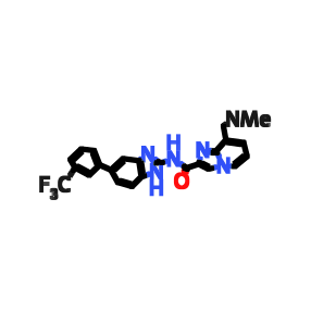 CNCc1cccn2cc(C(=O)Nc3nc4cc(-c5cccc(C(F)(F)F)c5)ccc4[nH]3)nc12